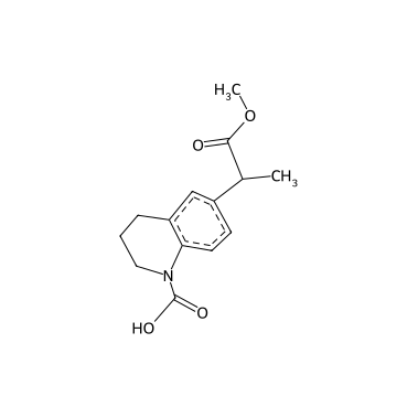 COC(=O)C(C)c1ccc2c(c1)CCCN2C(=O)O